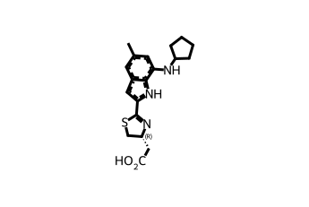 Cc1cc(NC2CCCC2)c2[nH]c(C3=N[C@H](CC(=O)O)CS3)cc2c1